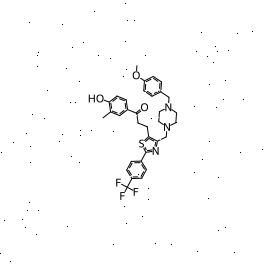 COc1ccc(CN2CCN(Cc3nc(-c4ccc(C(F)(F)F)cc4)sc3CCC(=O)c3ccc(O)c(C)c3)CC2)cc1